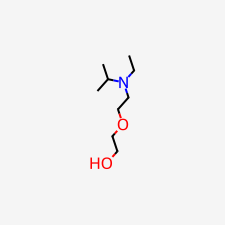 CCN(CCOCCO)C(C)C